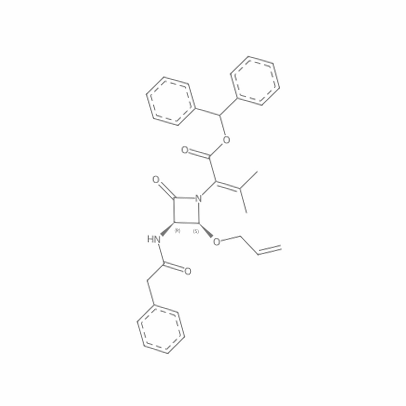 C=CCO[C@H]1[C@@H](NC(=O)Cc2ccccc2)C(=O)N1C(C(=O)OC(c1ccccc1)c1ccccc1)=C(C)C